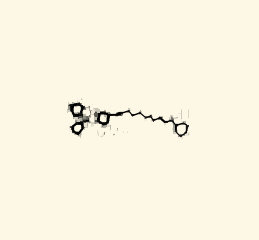 COc1cc(C#CCCCCCC/C=C/C(O)C2CCCCC2)cc(OC)c1O[Si](c1ccccc1)(c1ccccc1)C(C)(C)C